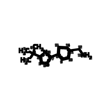 CC(C)(C)c1csc(-c2ccc(CN)cc2)n1